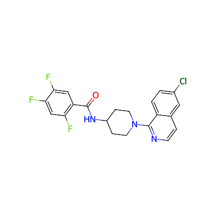 O=C(NC1CCN(c2nccc3cc(Cl)ccc23)CC1)c1cc(F)c(F)cc1F